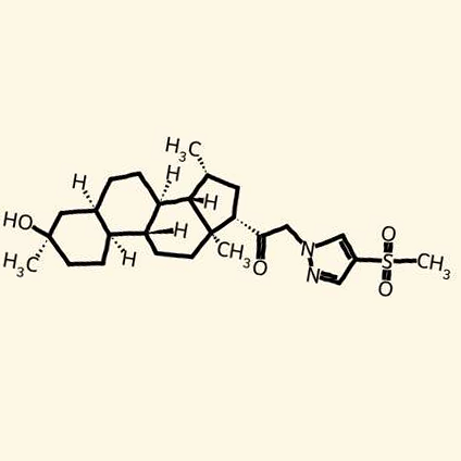 C[C@@H]1C[C@H](C(=O)Cn2cc(S(C)(=O)=O)cn2)[C@@]2(C)CC[C@H]3[C@@H](CC[C@@H]4C[C@](C)(O)CC[C@@H]43)[C@H]12